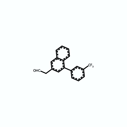 O=CCc1cc(-c2cccc(C(F)(F)F)c2)c2ccccc2c1